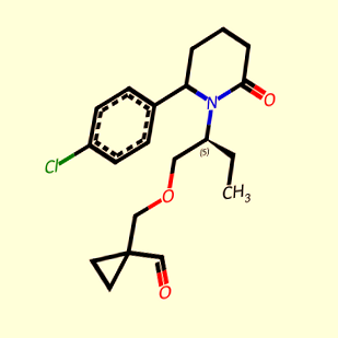 CC[C@@H](COCC1(C=O)CC1)N1C(=O)CCCC1c1ccc(Cl)cc1